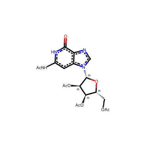 CC(=O)Nc1cc2c(ncn2[C@@H]2O[C@H](COC(C)=O)[C@@H](OC(C)=O)[C@H]2OC(C)=O)c(=O)[nH]1